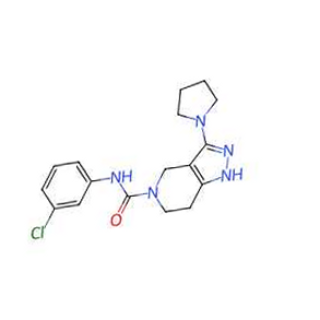 O=C(Nc1cccc(Cl)c1)N1CCc2[nH]nc(N3CCCC3)c2C1